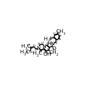 C=C1C(C(=O)NCc2ccc(C)cc2P)=CN2CCN(CC[C@H](C)CC)C(=C)C2=C1O